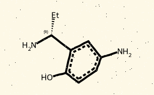 CC[C@@H](N)c1cc(N)ccc1O